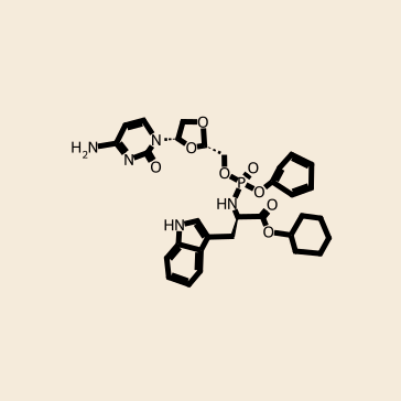 Nc1ccn([C@@H]2CO[C@H](COP(=O)(N[C@H](Cc3c[nH]c4ccccc34)C(=O)OC3CCCCC3)Oc3ccccc3)O2)c(=O)n1